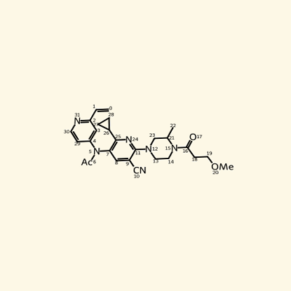 C=Cc1cc(N(C(C)=O)c2cc(C#N)c(N3CCN(C(=O)CCOC)C(C)C3)nc2C2CC2)ccn1